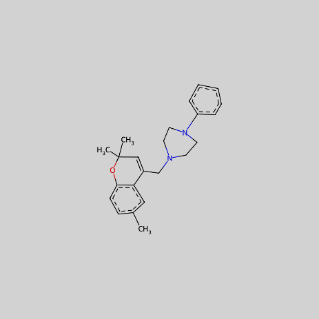 Cc1ccc2c(c1)C(CN1CCN(c3ccccc3)CC1)=CC(C)(C)O2